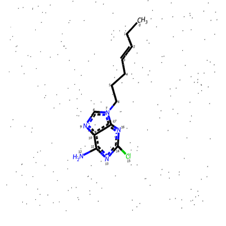 CCC=CCCCn1cnc2c(N)nc(Cl)nc21